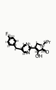 CC(C)N1CC(c2ncc(Cc3ccc(F)cc3)cn2)=C(O)C1=O